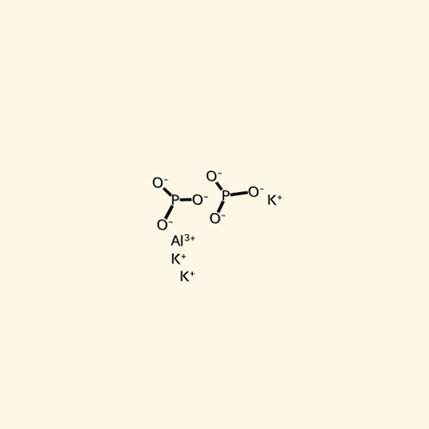 [Al+3].[K+].[K+].[K+].[O-]P([O-])[O-].[O-]P([O-])[O-]